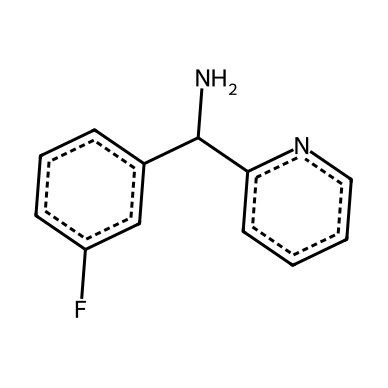 NC(c1cccc(F)c1)c1ccccn1